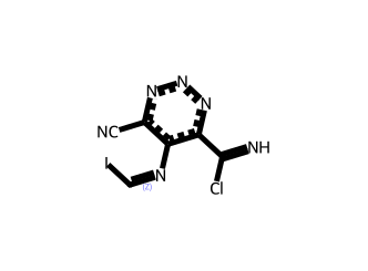 N#Cc1nnnc(C(=N)Cl)c1/N=C\I